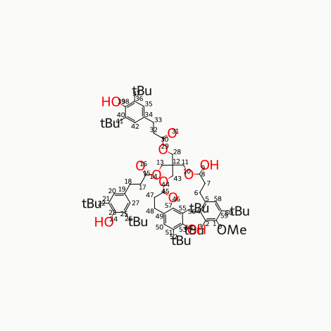 COc1c(C(C)(C)C)cc(CCC(O)OCC(COC(=O)CCc2cc(C(C)(C)C)c(O)c(C(C)(C)C)c2)(COC(=O)CCc2cc(C(C)(C)C)c(O)c(C(C)(C)C)c2)COC(=O)CCc2cc(C(C)(C)C)c(O)c(C(C)(C)C)c2)cc1C(C)(C)C